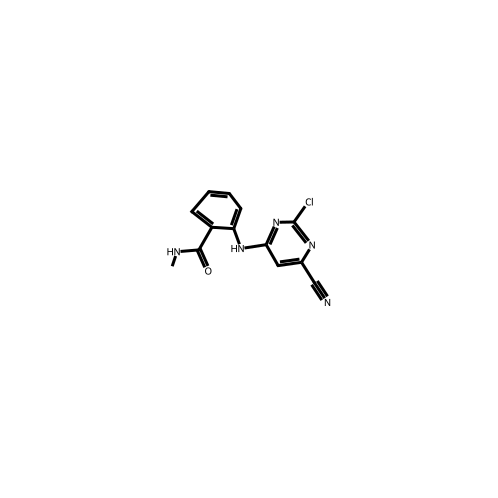 CNC(=O)c1ccccc1Nc1cc(C#N)nc(Cl)n1